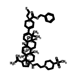 C=C(C)C1CC[C@]2(NCCN3CCC(S(C)(=O)=O)CC3)CC[C@]3(C)[C@H](CC[C@@H]4[C@@]5(C)CC=C(C6=CC[C@@](CCF)(C(=O)OCc7ccccc7)CC6)C(C)(C)[C@@H]5CC[C@]43C)[C@@H]12